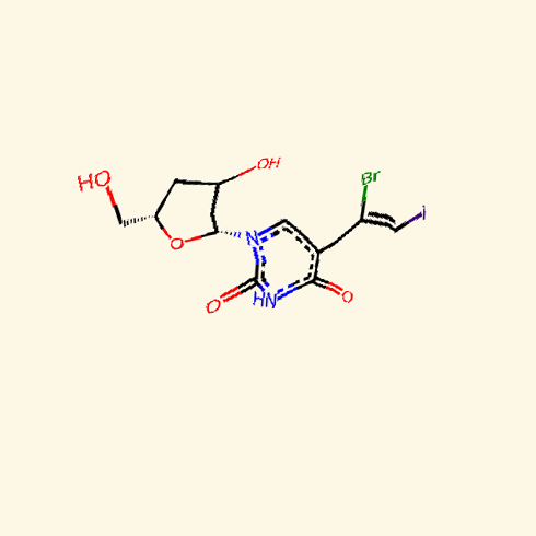 O=c1[nH]c(=O)n([C@@H]2O[C@H](CO)CC2O)cc1C(Br)=CI